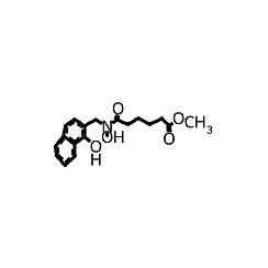 COC(=O)CCCCC(=O)N(O)Cc1ccc2ccccc2c1O